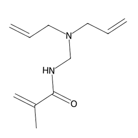 C=CCN(CC=C)CNC(=O)C(=C)C